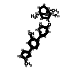 Cn1cc(-c2ccc(-c3ccc(O[C@@H]4C[C@@]5(C)CC[C@](C)(N5)[C@@H]4F)nn3)c(O)c2)cn1